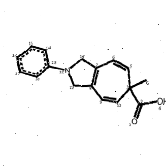 CC1(C(=O)O)C=CC2=C(C=C1)CN(c1ccccc1)C2